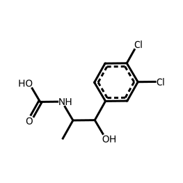 CC(NC(=O)O)C(O)c1ccc(Cl)c(Cl)c1